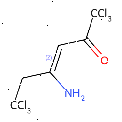 N/C(=C\C(=O)C(Cl)(Cl)Cl)CC(Cl)(Cl)Cl